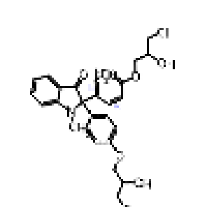 C=C(/C=C\C(=C/C)C1(c2ccc(OCC(O)CCl)cc2)C(=O)c2ccccc2N1C)OCC(O)CCl